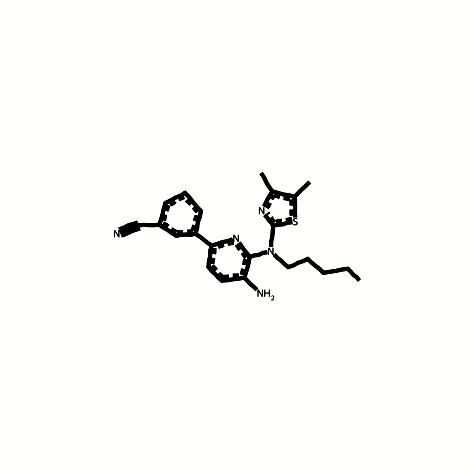 CCCCCN(c1nc(C)c(C)s1)c1nc(-c2cccc(C#N)c2)ccc1N